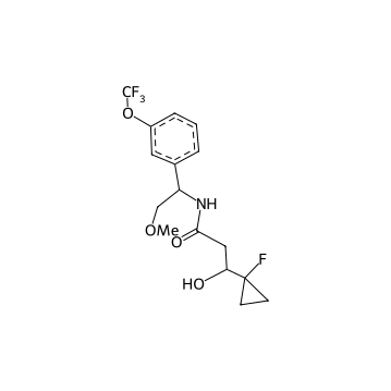 COCC(NC(=O)CC(O)C1(F)CC1)c1cccc(OC(F)(F)F)c1